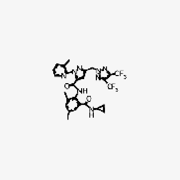 Cc1cccnc1-n1nc(Cn2nc(C(F)(F)F)c(C(F)(F)F)n2)cc1C(=O)Nc1c(C)cc(I)cc1C(=O)NC1CC1